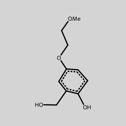 COCCOc1ccc(O)c(CO)c1